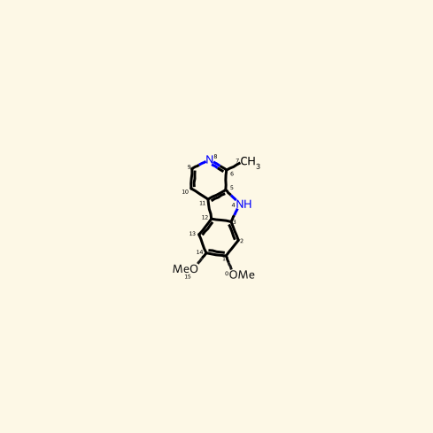 COc1cc2[nH]c3c(C)nccc3c2cc1OC